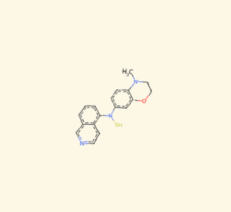 CN1CCOc2cc(N(S)c3cccc4cnccc34)ccc21